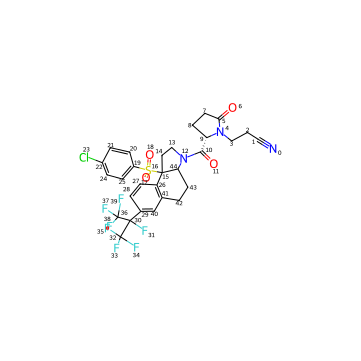 N#CCCN1C(=O)CC[C@H]1C(=O)N1CCC2(S(=O)(=O)c3ccc(Cl)cc3)c3ccc(C(F)(C(F)(F)F)C(F)(F)F)cc3CCC12